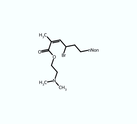 CCCCCCCCCCCC(Br)C=C(C)C(=O)OCCN(C)C